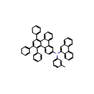 Cc1cccc(N(c2ccc3c(c2)c2ccccc2c2c(C4=CC=CCC4)cc(C4=CCCC=C4)c(-c4ccccc4)c32)c2cc3ccccc3c3ccccc23)c1